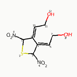 O=[N+]([O-])C1SC([N+](=O)[O-])C(=CCO)C1=CCO